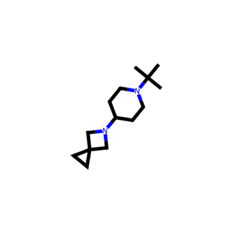 CC(C)(C)N1CCC(N2CC3(CC3)C2)CC1